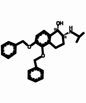 CC(C)N[C@@H]1CCc2c(ccc(OCc3ccccc3)c2OCc2ccccc2)[C@@H]1O